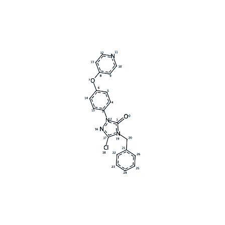 O=c1n(-c2ccc(Oc3ccncc3)cc2)nc(Cl)n1Cc1ccccc1